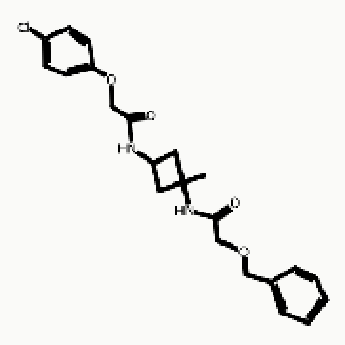 CC1(NC(=O)COCc2ccccc2)CC(NC(=O)COc2ccc(Cl)cc2)C1